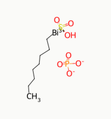 CCCCCCC[CH2][Bi+3][S](=O)(=O)O.O=P([O-])([O-])[O-]